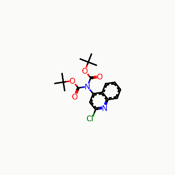 CC(C)(C)OC(=O)N(C(=O)OC(C)(C)C)c1cc(Cl)nc2ccccc12